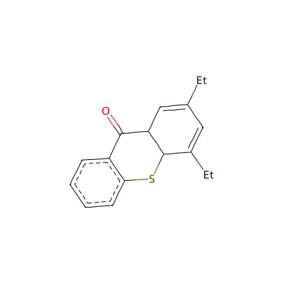 CCC1=CC2C(=O)c3ccccc3SC2C(CC)=C1